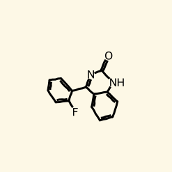 O=c1nc(-c2ccccc2F)c2ccccc2[nH]1